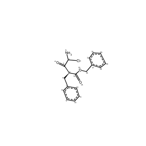 NC(Cl)C(=O)[C@H](Cc1ccccc1)C(=O)OCc1ccccc1